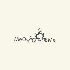 COCCOc1cc(Cl)nc(SC)n1